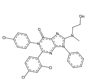 CN(CCO)c1nc2c(=O)n(-c3ccc(Cl)cc3)c(-c3ccc(Cl)cc3Cl)nc2n1-c1ccccc1